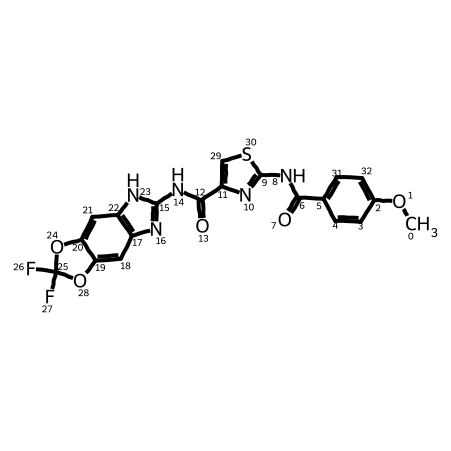 COc1ccc(C(=O)Nc2nc(C(=O)Nc3nc4cc5c(cc4[nH]3)OC(F)(F)O5)cs2)cc1